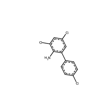 Nc1c(Cl)cc(Cl)cc1-c1ccc(Cl)cc1